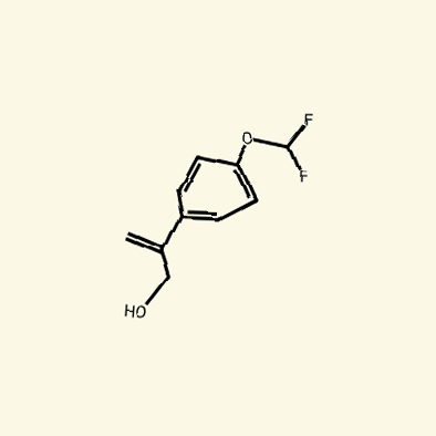 C=C(CO)c1ccc(OC(F)F)cc1